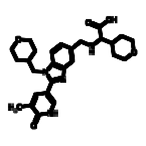 Cc1cc(-c2nc3cc(CNC(C(=O)O)C4CCOCC4)ccc3n2CC2CCOCC2)c[nH]c1=O